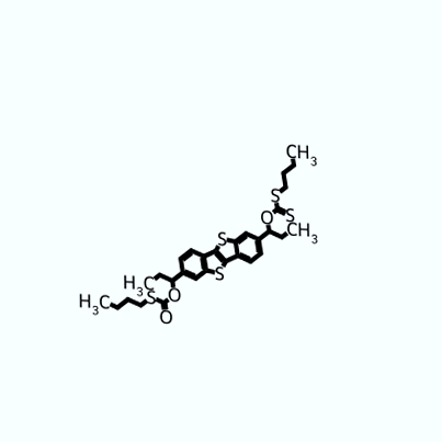 CCCCSC(=O)OC(CC)c1ccc2c(c1)sc1c3ccc(C(CC)OC(=S)SCCCC)cc3sc21